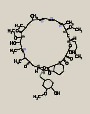 COC1CC(C[C@H]2C3CCCN4C(=O)C(=O)C5(O)O[C@@H](CCC5C)C[C@H](OC)/C(C)=C/C=C/C=C/C(C)CC(C)C(=O)[C@H](OC)C(O)/C(C)=C/C(C)C(=O)C[C@@H]2OC(=O)C34)CCC1O